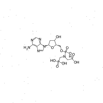 Nc1ncnc2c1ncn2[C@H]1CC(O)[C@@H](COP(=O)(O)N(CC(=O)O)CP(=O)(O)O)O1